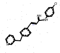 N=C(/C=C/c1ccc(Cc2cccnc2)cc1)Nc1ccc(Cl)cc1